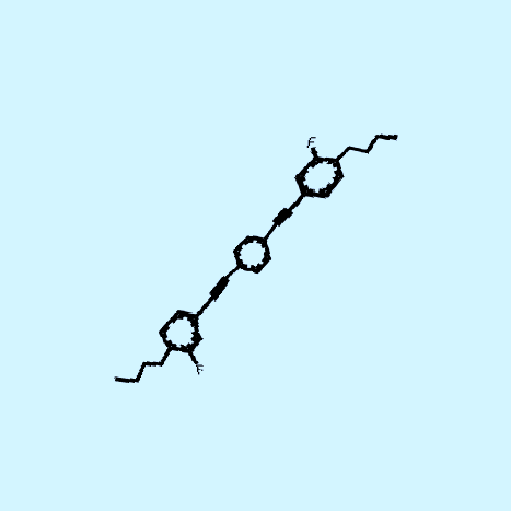 CCCCc1ccc(C#Cc2ccc(C#Cc3ccc(CCCC)c(F)c3)cc2)cc1F